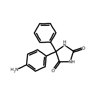 Nc1ccc(C2(c3ccccc3)NC(=O)NC2=O)cc1